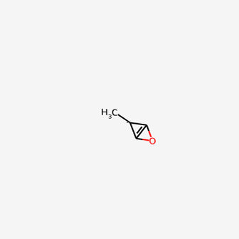 C[C]1C2=C1O2